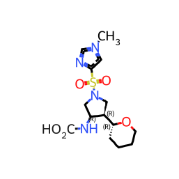 Cn1cnc(S(=O)(=O)N2C[C@@H]([C@H]3CCCCO3)[C@@H](NC(=O)O)C2)c1